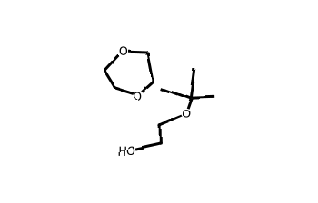 C1COCCO1.CC(C)(C)OCCO